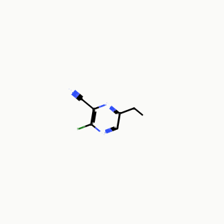 CCc1cnc(Cl)c(C#N)n1